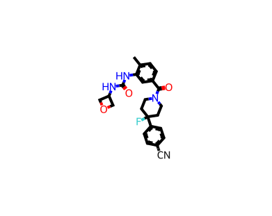 Cc1ccc(C(=O)N2CCC(F)(c3ccc(C#N)cc3)CC2)cc1NC(=O)NC1COC1